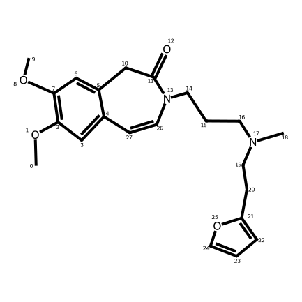 COc1cc2c(cc1OC)CC(=O)N(CCCN(C)CCc1ccco1)C=C2